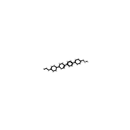 CCCC1CCC(C2CC=C(c3ccc(C4CCC(COC)CC4)cc3)CC2)CC1